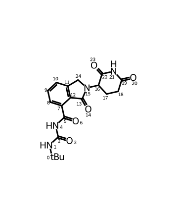 CC(C)(C)NC(=O)NC(=O)c1cccc2c1C(=O)N(C1CCC(=O)NC1=O)C2